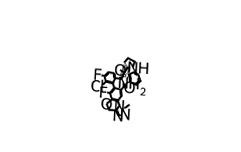 Cc1nnc2n1-c1cc(C(N)=O)c(-c3c(Cl)c(F)cc4c3C[C@](c3ccccc3)([C@@H]3CCCN3)O4)c(F)c1OC2